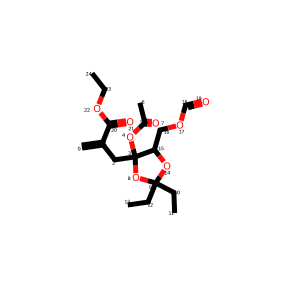 C=C(CC1(OC(C)=O)OC(CC)(CC)OC1COC=O)C(=O)OCC